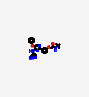 CC(C)(C)NC(=O)COc1cccc(-c2ncc(Oc3ccccc3)c(Nc3cn[nH]c3)n2)c1